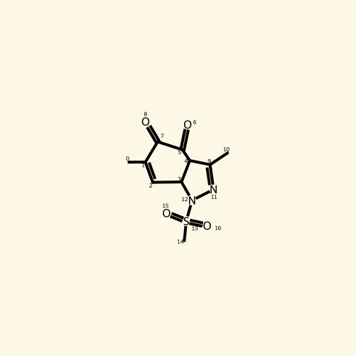 CC1=CC2C(C(=O)C1=O)C(C)=NN2S(C)(=O)=O